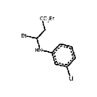 CCOC(=O)CC(CC)Nc1cccc(Cl)c1